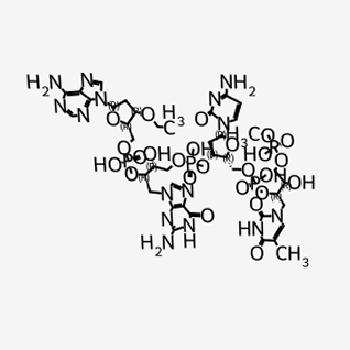 CCO[C@@H]1C[C@H](n2cnc3c(N)ncnc32)O[C@@H]1COP(=O)(O)O[C@H](Cn1cnc2c(=O)[nH]c(N)nc21)[C@H](O)COP(=O)(O)O[C@@H]1C[C@H](n2ccc(N)nc2=O)O[C@@H]1COP(=O)(O)O[C@H](Cn1cc(C)c(=O)[nH]c1=O)[C@H](O)COP(=O)(O)OC